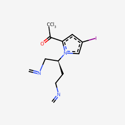 C=NCC[C@@H](CN=C)n1cc(I)cc1C(=O)C(Cl)(Cl)Cl